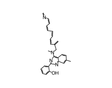 C=N\C=C/C=C\C=C/C=C\C(=C)CN(C)c1nc(-c2ccccc2O)nc2cc(C)ccc12